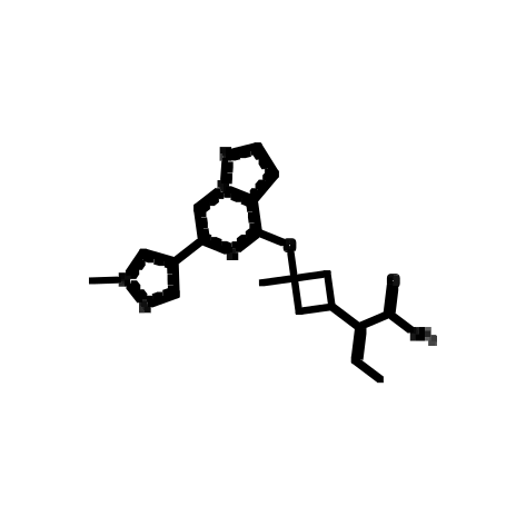 CC=C(C(N)=O)C1CC(C)(Oc2nc(-c3cnn(C)c3)cn3nccc23)C1